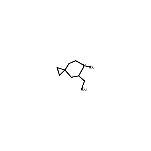 CC(C)(C)CC1CC2(CCN1C(C)(C)C)CC2